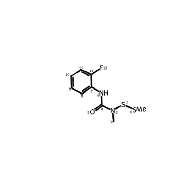 CSSN(C)C(=O)Nc1ccccc1F